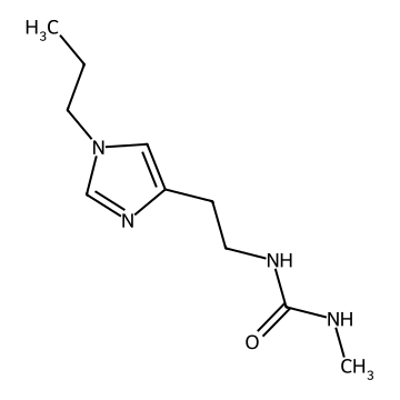 CCCn1cnc(CCNC(=O)NC)c1